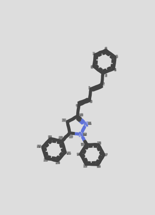 C(C=Cc1ccccc1)=CC1=NN(c2ccccc2)C(c2ccccc2)C1